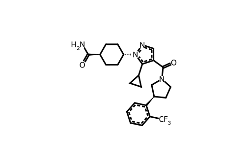 NC(=O)[C@H]1CC[C@H](n2ncc(C(=O)N3CC[C@@H](c4ccccc4C(F)(F)F)C3)c2C2CC2)CC1